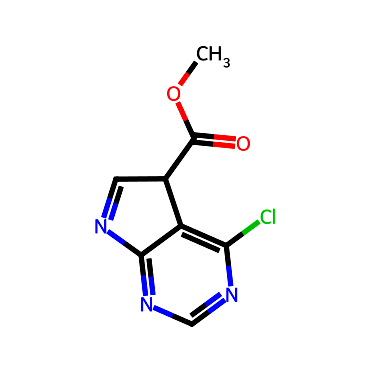 COC(=O)C1C=Nc2ncnc(Cl)c21